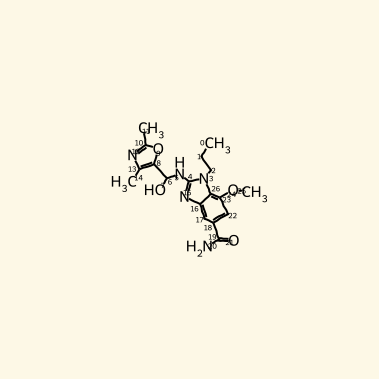 CCCn1c(NC(O)c2oc(C)nc2C)nc2cc(C(N)=O)cc(OC)c21